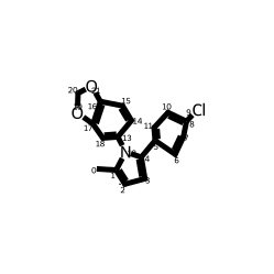 Cc1[c]cc(-c2ccc(Cl)cc2)n1-c1ccc2c(c1)OCO2